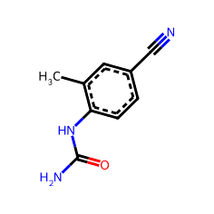 Cc1cc(C#N)ccc1NC(N)=O